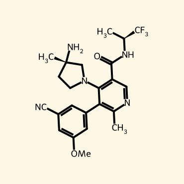 COc1cc(C#N)cc(-c2c(C)ncc(C(=O)N[C@@H](C)C(F)(F)F)c2N2CC[C@](C)(N)C2)c1